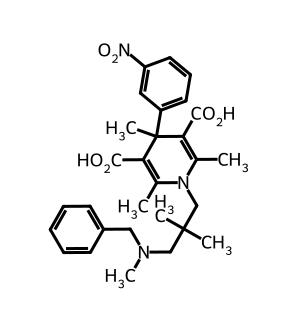 CC1=C(C(=O)O)C(C)(c2cccc([N+](=O)[O-])c2)C(C(=O)O)=C(C)N1CC(C)(C)CN(C)Cc1ccccc1